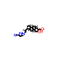 COCC[C@@]1(O)CC[C@H]2[C@H](CC[C@@H]3[C@@H]2CC[C@]2(C)[C@@H]([C@H](C)Cn4ccc(C#N)n4)CC[C@@H]32)C1